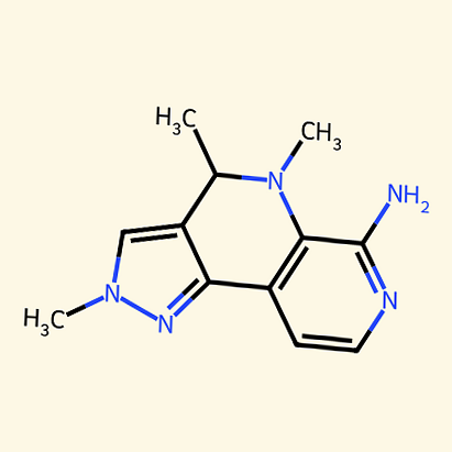 CC1c2cn(C)nc2-c2ccnc(N)c2N1C